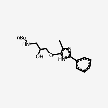 CCCCNCC(O)COc1[nH]c(-c2ccccc2)nc1C